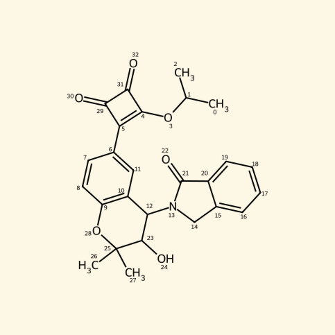 CC(C)Oc1c(-c2ccc3c(c2)C(N2Cc4ccccc4C2=O)C(O)C(C)(C)O3)c(=O)c1=O